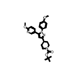 COc1ccc(-n2nc(C3CCN(C(=O)OC(C)(C)C)CC3)cc2-c2ccc(OC)nc2)cc1